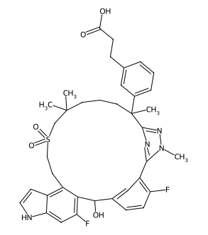 Cn1nc2nc1-c1cc(ccc1F)C(O)c1c(F)cc3[nH]ccc3c1CCS(=O)(=O)CC(C)(C)CCCC2(C)c1cccc(CCC(=O)O)c1